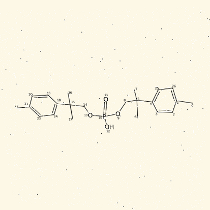 Cc1ccc(C(C)(C)COP(=O)(O)OCC(C)(C)c2ccc(C)cc2)cc1